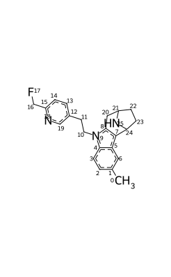 Cc1ccc2c(c1)c1c(n2CCc2ccc(CF)nc2)CC2CCC1N2